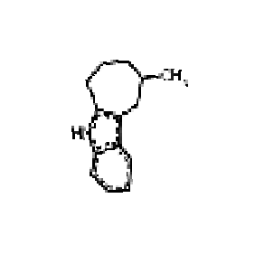 CC1CCCc2[nH]c3ccccc3c2C1